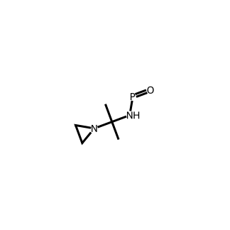 CC(C)(NP=O)N1CC1